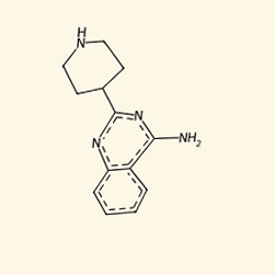 Nc1nc(C2CCNCC2)nc2ccccc12